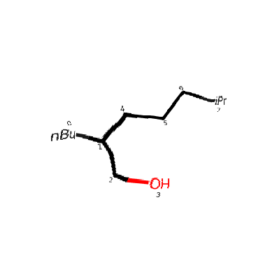 CCCCC(CO)CCCC(C)C